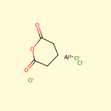 O=C1CCCC(=O)O1.[Al+3].[Cl-].[Cl-].[Cl-]